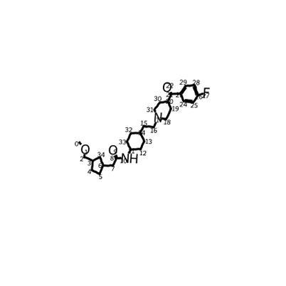 COCC1CCC(CC(=O)NC2CCC(CCN3CCC(C(=O)c4ccc(F)cc4)CC3)CC2)C1